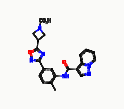 Cc1ccc(-c2noc(C3CN(C(=O)O)C3)n2)cc1NC(=O)c1cnn2ccccc12